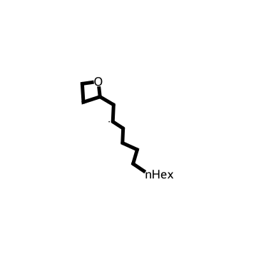 CCCCCCCCCC[CH]CC1CCO1